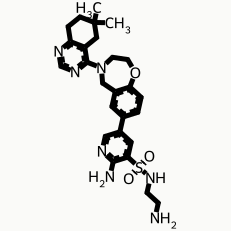 CC1(C)CCc2ncnc(N3CCOc4ccc(-c5cnc(N)c(S(=O)(=O)NCCN)c5)cc4C3)c2C1